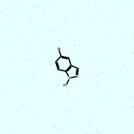 CC(C)n1ncc2cc(Br)ccc21